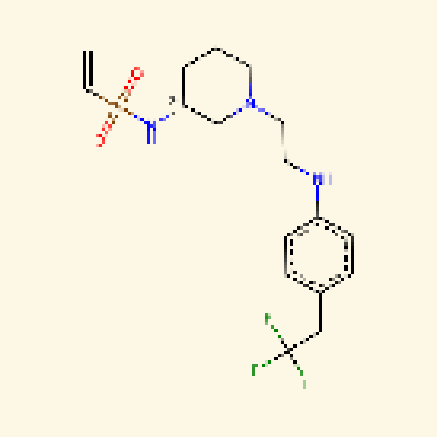 C=CS(=O)(=O)N[C@@H]1CCCN(CCNc2ccc(CC(F)(F)F)cc2)C1